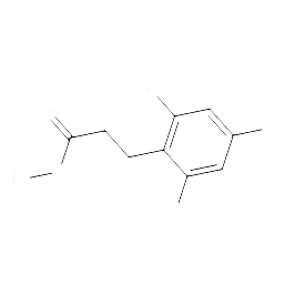 Cc1cc(C(=O)O)cc(C)c1CCC(=O)OC(C)(C)C